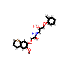 COc1cc2c(cc1OCC(=O)NCC(O)COc1ccccc1C)SCCC2